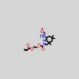 C=CC(=O)OCCOC(=O)NCC1(C)CC(NCOC)CC(C)(C)C1